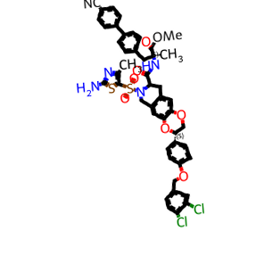 COC(=O)[C@](C)(Cc1ccc(-c2ccc(C#N)cc2)cc1)NC(=O)C1Cc2cc3c(cc2CN1S(=O)(=O)c1sc(N)nc1C)O[C@@H](c1ccc(OCc2ccc(Cl)c(Cl)c2)cc1)CO3